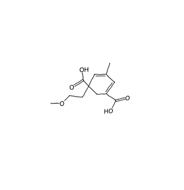 COCCC1(C(=O)O)C=C(C)C=C(C(=O)O)C1